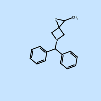 CC1OC12CN(C(c1ccccc1)c1ccccc1)C2